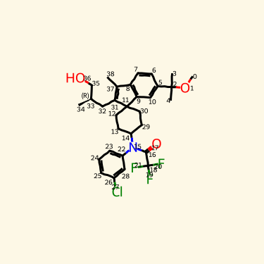 COC(C)(C)c1ccc2c(c1)C1(CCC(N(C(=O)C(F)(F)F)c3cccc(Cl)c3)CC1)C(C[C@@H](C)CO)=C2C